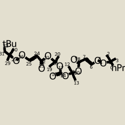 CCCC(C)(C)OOC=CC(=O)OC(C)(C)OC(=O)OC(C)(C)OC(=O)C=COOC(C)(C)CC(C)(C)C